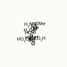 COc1nc(N)nc2c1ncn2[C@@H]1O[C@H](COP(=O)(N[C@H](C(=O)O)C(C)C)N[C@@](Cc2ccccc2)(C(=O)O)C(C)C)[C@@H](O)[C@@]1(C)O